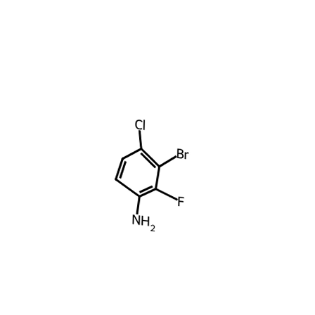 Nc1ccc(Cl)c(Br)c1F